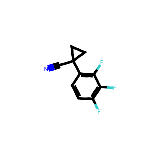 N#CC1(c2ccc(F)c(F)c2F)CC1